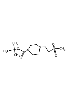 CC(C)(C)OC(=O)N1CCN(CCS(C)(=O)=O)CC1